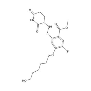 COC(=O)c1cc(F)c(OCCCCCCO)cc1CNC1CCC(=O)NC1=O